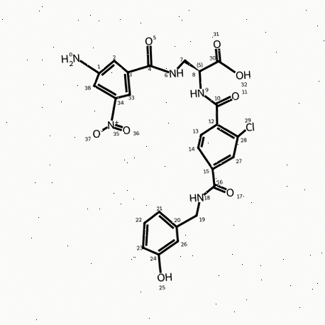 Nc1cc(C(=O)NC[C@H](NC(=O)c2ccc(C(=O)NCc3cccc(O)c3)cc2Cl)C(=O)O)cc([N+](=O)[O-])c1